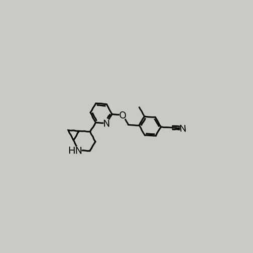 Cc1cc(C#N)ccc1COc1cccc(C2CCNC3CC32)n1